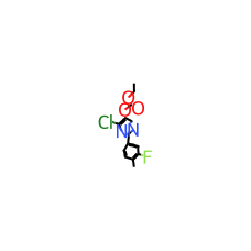 CCOC(=O)Oc1cnc(-c2ccc(C)c(F)c2)nc1Cl